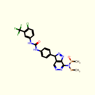 CSN(c1nncc2c1N=NC2c1ccc(NC(=O)Nc2ccc(Cl)c(C(F)(F)F)c2)cc1)[S+](C)[O-]